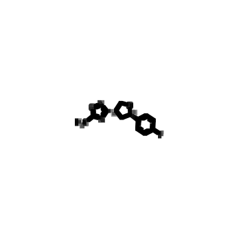 Cc1nc([C@@H]2CO[C@@H](c3ccc(F)cc3)C2)no1